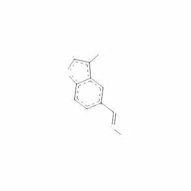 ON=Cc1ccc2occ(F)c2c1